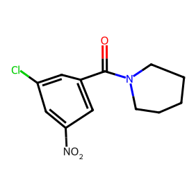 O=C(c1cc(Cl)cc([N+](=O)[O-])c1)N1CCCCC1